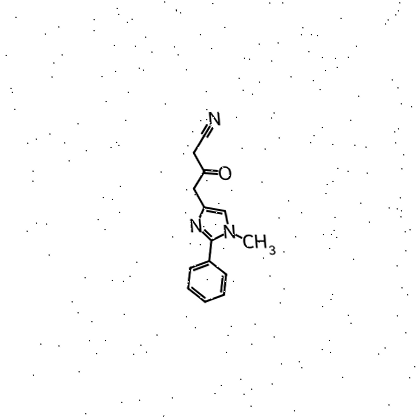 Cn1cc(CC(=O)CC#N)nc1-c1ccccc1